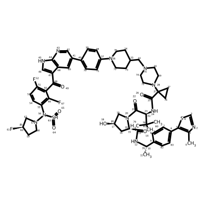 Cc1ncsc1-c1ccc([C@H](C)NC(=O)[C@@H]2C[C@@H](O)CN2C(=O)[C@@H](NC(=O)C2(N3CCN(CC4CCN(c5ccc(-c6cnc7[nH]cc(C(=O)c8c(F)ccc(N(N9CC[C@@H](F)C9)[SH](=O)=O)c8F)c7c6)cc5)CC4)CC3)CC2)C(C)(C)C)cc1